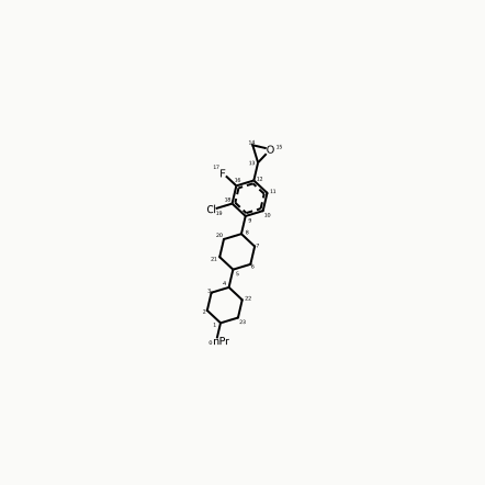 CCCC1CCC(C2CCC(c3ccc(C4CO4)c(F)c3Cl)CC2)CC1